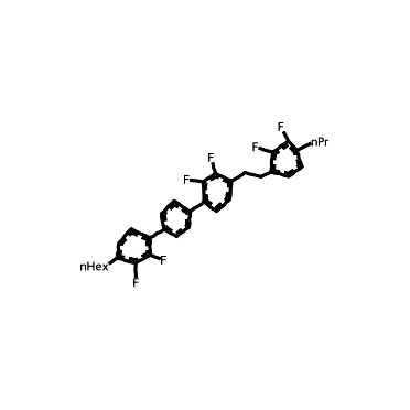 CCCCCCc1ccc(-c2ccc(-c3ccc(CCc4ccc(CCC)c(F)c4F)c(F)c3F)cc2)c(F)c1F